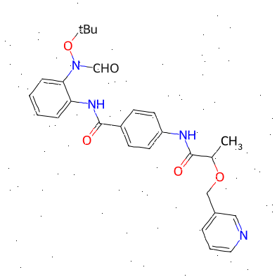 CC(OCc1cccnc1)C(=O)Nc1ccc(C(=O)Nc2ccccc2N(C=O)OC(C)(C)C)cc1